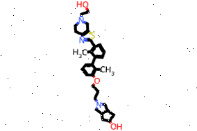 Cc1c(OCCCN2CC3CC(O)CC3C2)cccc1-c1cccc(-c2nc3c(s2)CN(CCO)CC3)c1C